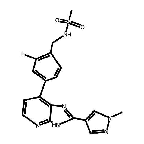 Cn1cc(-c2nc3c(-c4ccc(CNS(C)(=O)=O)c(F)c4)ccnc3[nH]2)cn1